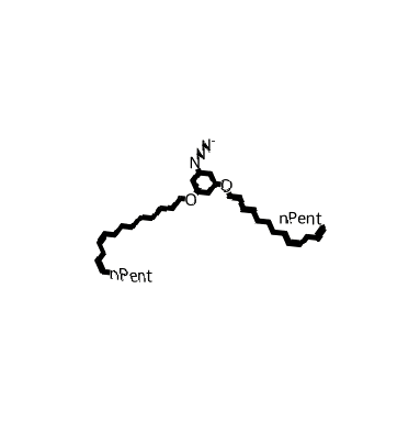 CCCCC/C=C\C/C=C\CCCCCCCCOC1CC(N=[N+]=[N-])CC(OCCCCCCCC/C=C\C/C=C\CCCCC)C1